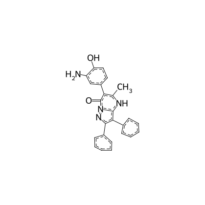 Cc1[nH]c2c(-c3ccccc3)c(-c3ccccc3)nn2c(=O)c1-c1ccc(O)c(N)c1